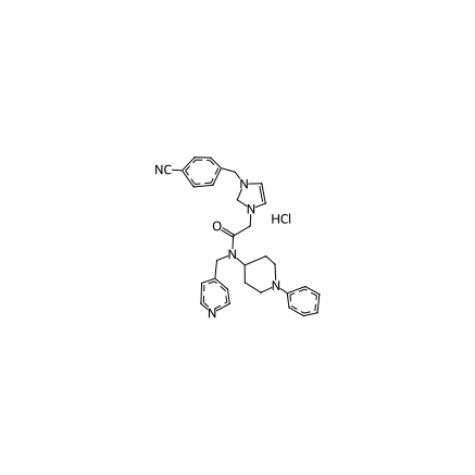 Cl.N#Cc1ccc(CN2C=CN(CC(=O)N(Cc3ccncc3)C3CCN(c4ccccc4)CC3)C2)cc1